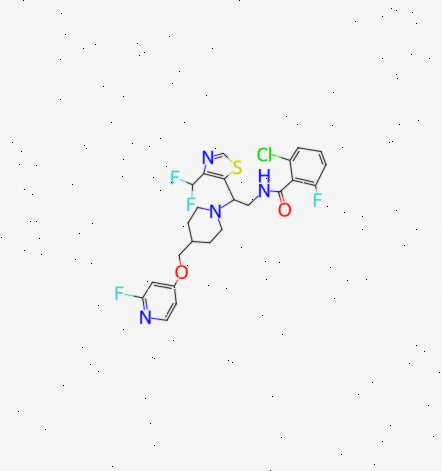 O=C(NCC(c1scnc1C(F)F)N1CCC(COc2ccnc(F)c2)CC1)c1c(F)cccc1Cl